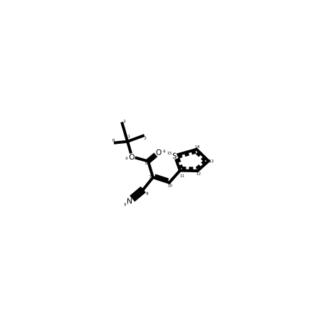 CC(C)(C)OC(=O)C(C#N)=Cc1cccs1